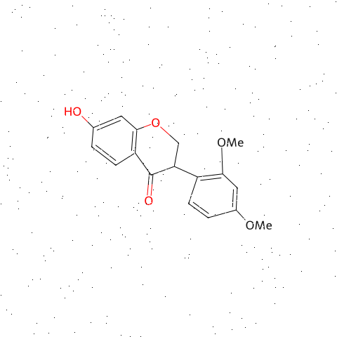 COc1ccc(C2COc3cc(O)ccc3C2=O)c(OC)c1